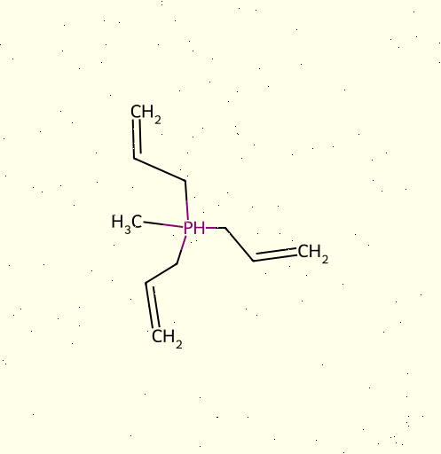 C=CC[PH](C)(CC=C)CC=C